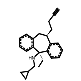 C#CCC[C@@H]1Cc2ccccc2[C@](CC)(NCC2CC2)c2ccccc21